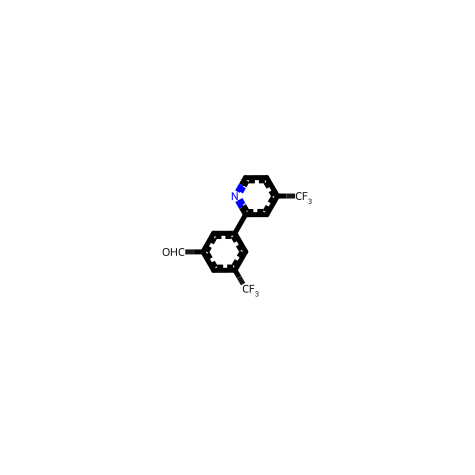 O=Cc1cc(-c2cc(C(F)(F)F)ccn2)cc(C(F)(F)F)c1